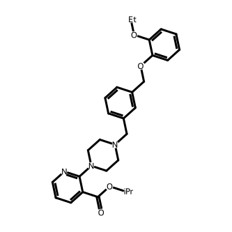 CCOc1ccccc1OCc1cccc(CN2CCN(c3ncccc3C(=O)OC(C)C)CC2)c1